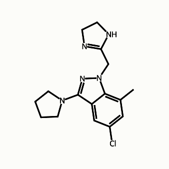 Cc1cc(Cl)cc2c(N3CCCC3)nn(CC3=NCCN3)c12